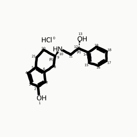 Cl.Oc1ccc2c(c1)C[C@H](NC[C@H](O)c1ccccc1)CC2